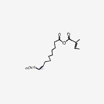 CC=C(C)C(=O)OC(=O)CCCCCCC/C=C\CCCCCCCC